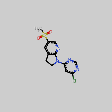 CS(=O)(=O)c1cnc2c(c1)CCN2c1cc(Cl)ncn1